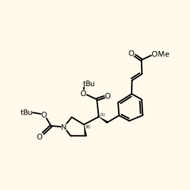 COC(=O)C=Cc1cccc(C[C@H](C(=O)OC(C)(C)C)[C@H]2CCN(C(=O)OC(C)(C)C)C2)c1